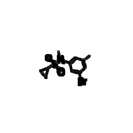 Cc1cc(Br)cc(N(C)S(=O)(=O)C2CC2)c1